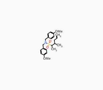 C=CCC(C)C(C)S(=O)(=O)N(Cc1ccc(OC)cc1)Cc1ccc(OC)cc1